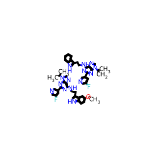 C=C(C)n1cnc2c(NCCc3c[nH]c4ccccc34)nc(-c3cncc(F)c3)nc21.COc1ccc2[nH]cc(CCNc3nc(-c4cncc(F)c4)nc4c3ncn4C(C)C)c2c1